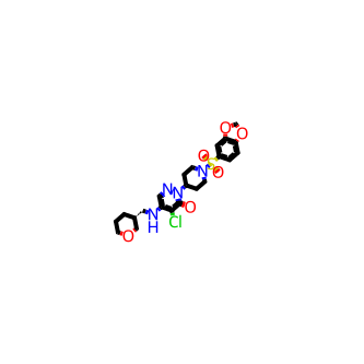 O=c1c(Cl)c(NC[C@H]2CCCOC2)cnn1C1CCN(S(=O)(=O)c2ccc3c(c2)OCO3)CC1